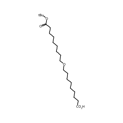 CC(C)(C)OC(=O)CCCCCCCCOCCCCCCCCC(=O)O